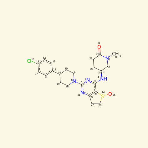 CN1C[C@@H](Nc2nc(N3CCC(c4ccc(Cl)cc4)CC3)nc3c2[S+]([O-])CC3)CCC1=O